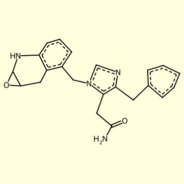 NC(=O)Cc1c(Cc2ccccc2)ncn1Cc1cccc2c1CC1OC1N2